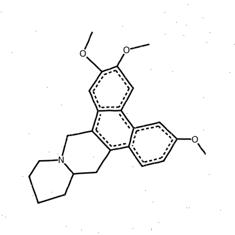 COc1ccc2c3c(c4cc(OC)c(OC)cc4c2c1)CN1CCCCC1C3